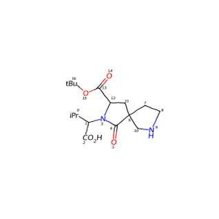 CC(C)C(C(=O)O)N1C(=O)C2(CCNC2)CC1C(=O)OC(C)(C)C